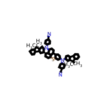 CC1(C)c2ccccc2-c2ccc(N(c3ccc(C#N)cc3)c3ccc4c(c3)Sc3cccc5c(N(c6ccc(C#N)cc6)c6ccc7c(c6)C(C)(C)c6ccccc6-7)ccc-4c35)cc21